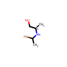 CC(S)N[C@H](C)CO